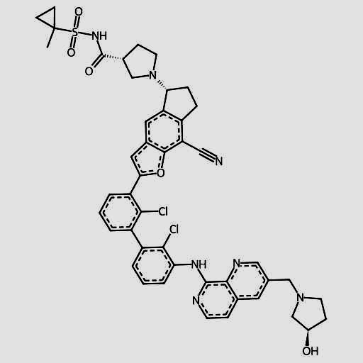 CC1(S(=O)(=O)NC(=O)[C@@H]2CCN([C@@H]3CCc4c3cc3cc(-c5cccc(-c6cccc(Nc7nccc8cc(CN9CC[C@@H](O)C9)cnc78)c6Cl)c5Cl)oc3c4C#N)C2)CC1